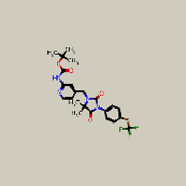 CC(C)(C)OC(=O)Nc1cc(CN2C(=O)N(c3ccc(SC(F)(F)F)cc3)C(=O)C2(C)C)ccn1